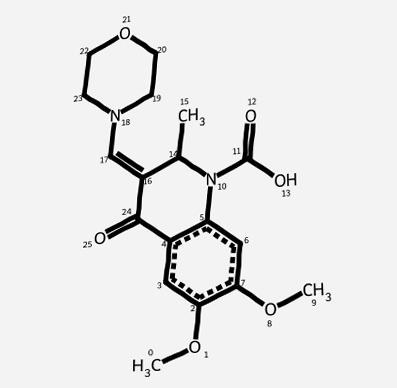 COc1cc2c(cc1OC)N(C(=O)O)C(C)C(=CN1CCOCC1)C2=O